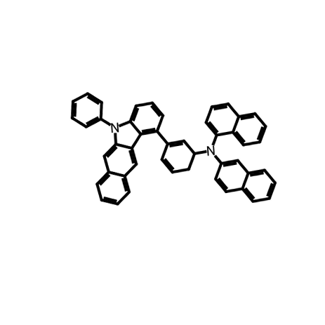 C1=CC(c2cccc3c2c2cc4ccccc4cc2n3-c2ccccc2)=CC(N(c2ccc3ccccc3c2)c2cccc3ccccc23)C1